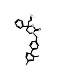 C=CC[C@]1(c2ccccc2)CCN(Cc2ccc(-c3ccc(F)cc3F)cc2)C(=O)O1